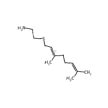 CC(C)=CCC/C(C)=C/CSCCN